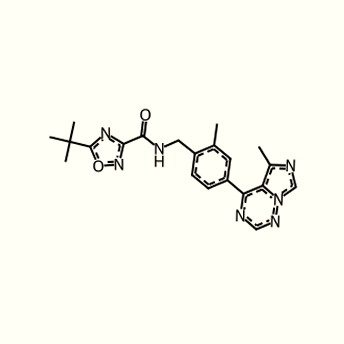 Cc1cc(-c2ncnn3cnc(C)c23)ccc1CNC(=O)c1noc(C(C)(C)C)n1